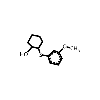 COc1cccc(SC2CCCCC2O)c1